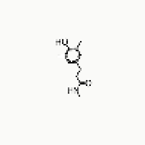 CNC(=O)CCc1cc(C)c(O)c(C)c1